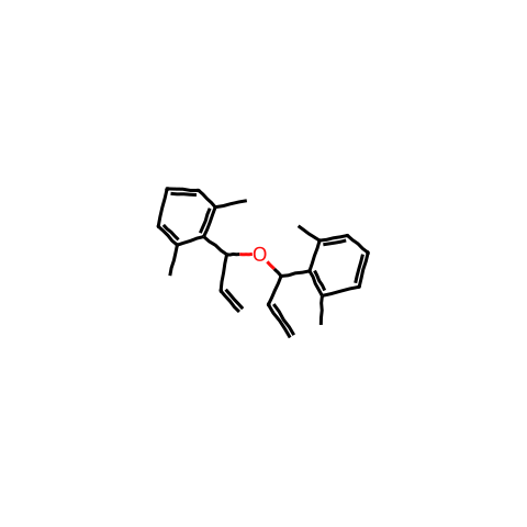 C=CC(OC(C=C)c1c(C)cccc1C)c1c(C)cccc1C